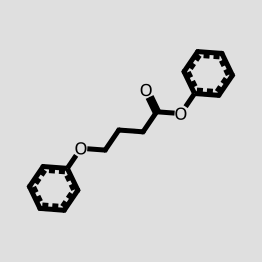 O=C(CCCOc1ccccc1)Oc1ccccc1